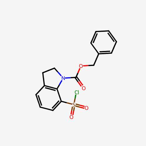 O=C(OCc1ccccc1)N1CCc2cccc(S(=O)(=O)Cl)c21